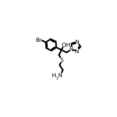 NCCSCC(O)(Cn1cncn1)c1ccc(Br)cc1